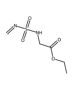 C=NS(=O)(=O)NCC(=O)OCC